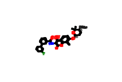 CO[C@@H]1CC[C@H](Oc2ccc3c(O)c(NC(=O)c4cccc(-c5cccc(F)c5)c4)c(=O)oc3c2C)OC1(C)C